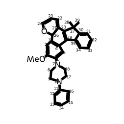 COc1cc2c(cc1N1CCN(c3ccccc3)CC1)C1=C(C3=CC=COC32)C(C)(C)c2ccccc21